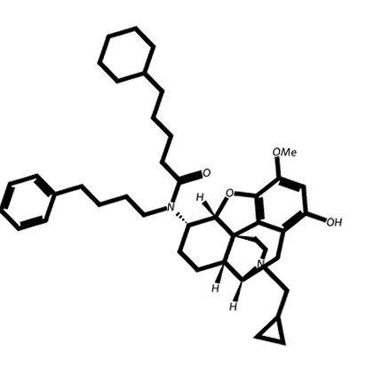 COc1cc(O)c2c3c1O[C@H]1[C@@H](N(CCCCc4ccccc4)C(=O)CCCCC4CCCCC4)CC[C@H]4[C@@H](C2)N(CC2CC2)CC[C@@]341